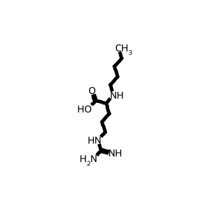 CCCCCNC(CCCNC(=N)N)C(=O)O